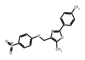 Cc1oc(-c2ccc(C(F)(F)F)cc2)nc1COc1ccc([SH](=O)=O)cc1